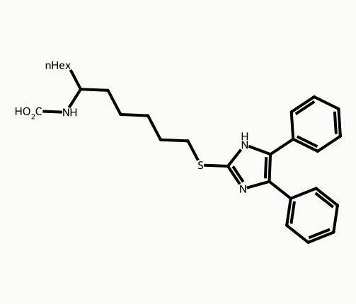 CCCCCCC(CCCCCSc1nc(-c2ccccc2)c(-c2ccccc2)[nH]1)NC(=O)O